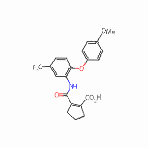 COc1ccc(Oc2ccc(C(F)(F)F)cc2NC(=O)C2=C(C(=O)O)CCC2)cc1